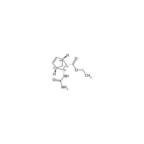 CCOC(=O)[C@@H]1[C@H](NC(N)=O)[C@@H]2C=C[C@H]1C2